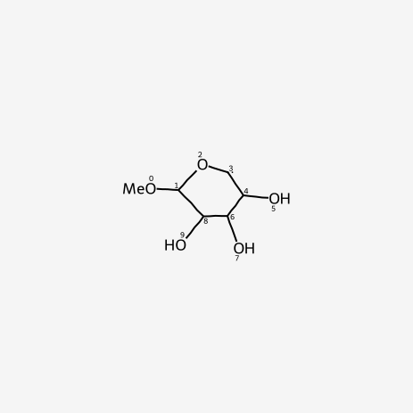 COC1O[CH]C(O)C(O)C1O